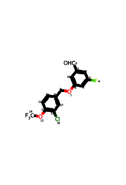 O=Cc1cc(F)cc(OCc2ccc(OC(F)(F)F)c(Cl)c2)c1